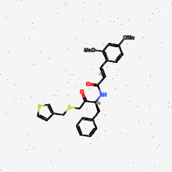 COc1ccc(/C=C/C(=O)N[C@@H](Cc2ccccc2)C(=O)CSCc2ccsc2)c(OC)c1